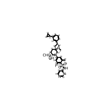 CN(C)[C@@]1(CCc2cccc(C3CC3)c2)CCCN(c2cc(F)c(S(=O)(=O)Nc3ccncn3)c(F)c2)C1.O=CO